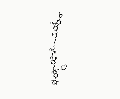 CCn1c2ccc(CNCCCCCCCC(=O)NCCOc3ccc(CCc4nc5cc(-c6c(C)noc6C)ccc5n4CCN4CCOCC4)cc3F)cc2c2ccc(-c3cc(C)cs3)cc21